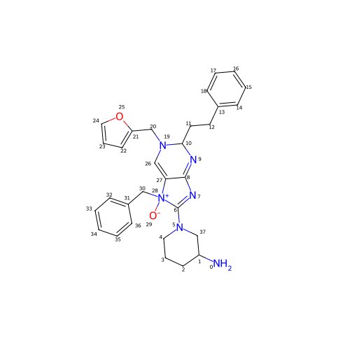 NC1CCCN(C2=NC3=NC(CCc4ccccc4)N(Cc4ccco4)C=C3[N+]2([O-])Cc2ccccc2)C1